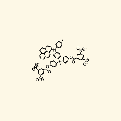 Cc1ccc(N(c2ccc(C(C)(c3ccc(OC(=O)c4cc([N+](=O)[O-])cc([N+](=O)[O-])c4)cc3)c3ccc(OC(=O)c4cc([N+](=O)[O-])cc([N+](=O)[O-])c4)cc3)cc2)c2ccc3ccc4cccc5ccc2c3c45)cc1